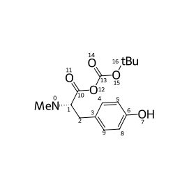 CN[C@@H](Cc1ccc(O)cc1)C(=O)OC(=O)OC(C)(C)C